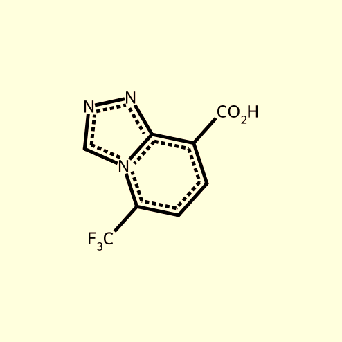 O=C(O)c1ccc(C(F)(F)F)n2cnnc12